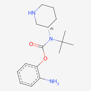 CC(C)(C)N(C(=O)Oc1ccccc1N)[C@H]1CCCNC1